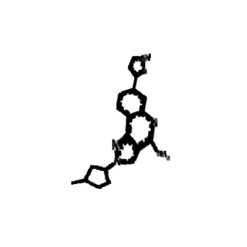 CC1CCC(n2cc3c(N)nc4cc(-c5cc[nH]n5)ccc4c3n2)C1